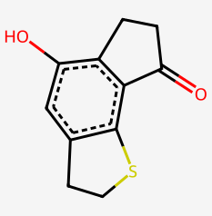 O=C1CCc2c(O)cc3c(c21)SCC3